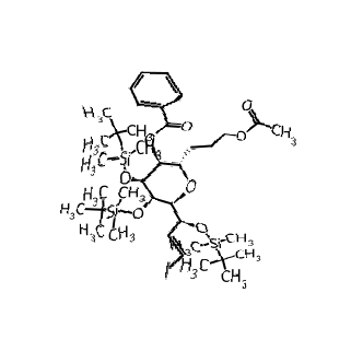 CC(=O)OCCC[C@@H]1O[C@@H]([C@H](/C=C/I)O[Si](C)(C)C(C)(C)C)[C@@H](O[Si](C)(C)C(C)(C)C)[C@@H](O[Si](C)(C)C(C)(C)C)[C@H]1OC(=O)c1ccccc1